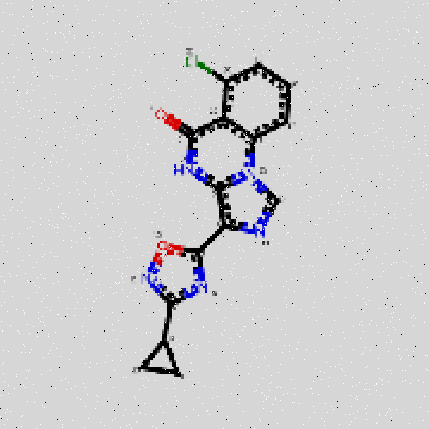 O=c1[nH]c2c(-c3nc(C4CC4)no3)ncn2c2cccc(Cl)c12